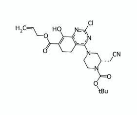 C=CCOC(=O)C1=C(O)c2nc(Cl)nc(N3CCN(C(=O)OC(C)(C)C)[C@@H](CC#N)C3)c2CC1